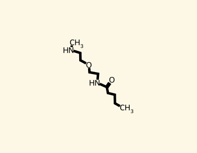 CCCCC(=O)NCCOCCNC